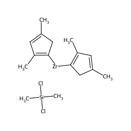 CC1=CC(C)=[C]([Zr][C]2=C(C)C=C(C)C2)C1.C[Si](C)(Cl)Cl